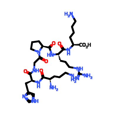 N=C(N)NCCC[C@H](NC(=O)[C@@H]1CCCN1C(=O)CNC(=O)[C@H](Cc1c[nH]cn1)NC(=O)[C@@H](N)CCCN)C(=O)N[C@@H](CCCCN)C(=O)O